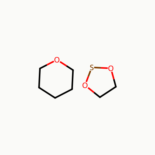 C1CCOCC1.C1COSO1